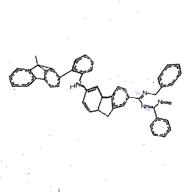 C=N/C(=N\C(=N/Cc1ccccc1)c1ccc2c(c1)CC1C=CC(Nc3ccccc3-c3ccc4c5c3C5(C)c3ccccc3-4)=CC21)c1ccccc1